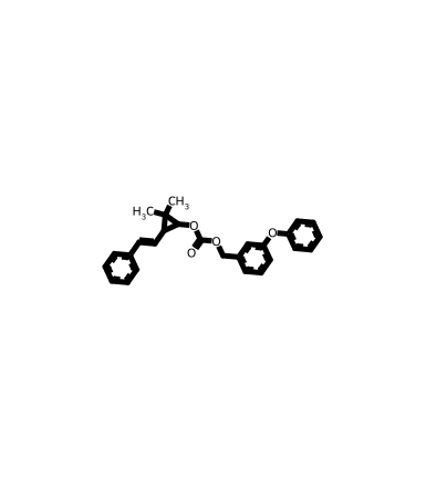 CC1(C)C(C=Cc2ccccc2)C1OC(=O)OCc1cccc(Oc2ccccc2)c1